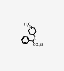 CCOC(=O)C(OC1CCN(C)CC1)c1ccccc1